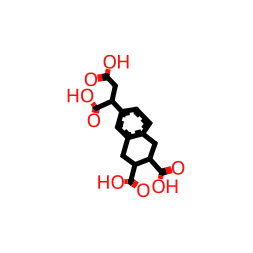 O=C(O)CC(C(=O)O)c1ccc2c(c1)CC(C(=O)O)C(C(=O)O)C2